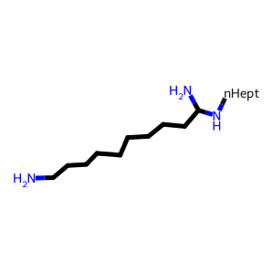 CCCCCCCNC(N)CCCCCCCCCN